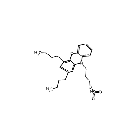 CCCCc1cc(CCCC)c2c(c1)N(CCCO[SH](=O)=O)c1ccccc1O2